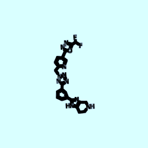 FC(F)c1nnc(-c2ccc(Cn3nnc(-c4cccc(-c5nc6c([nH]5)CCNC6)c4)n3)nc2)o1